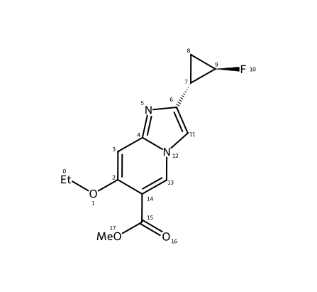 CCOc1cc2nc([C@@H]3C[C@H]3F)cn2cc1C(=O)OC